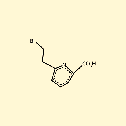 O=C(O)c1cccc(CCBr)n1